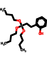 CCCCO[Si](CCc1ccccc1O)(OCCCC)OCCCC